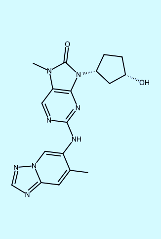 Cc1cc2ncnn2cc1Nc1ncc2c(n1)n([C@@H]1CC[C@H](O)C1)c(=O)n2C